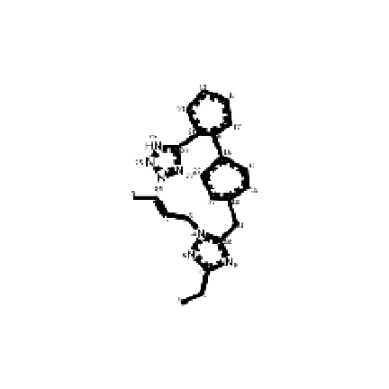 CC=CCn1nc(CC)nc1Cc1ccc(-c2ccccc2-c2nnn[nH]2)cc1